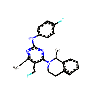 Cc1nc(Nc2ccc(F)cc2)nc(N2CCc3ccccc3C2C)c1CF